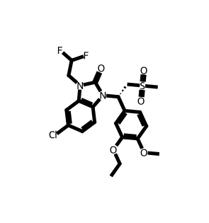 CCOc1cc([C@@H](CS(C)(=O)=O)n2c(=O)n(CC(F)F)c3cc(Cl)ccc32)ccc1OC